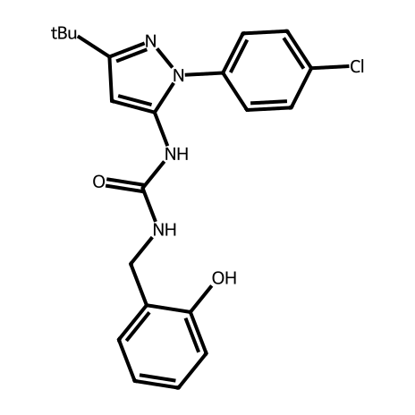 CC(C)(C)c1cc(NC(=O)NCc2ccccc2O)n(-c2ccc(Cl)cc2)n1